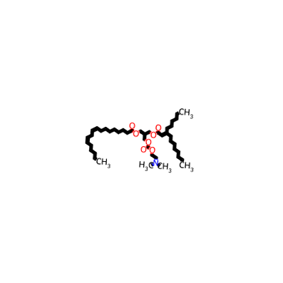 CCCCC/C=C\C/C=C\CCCCCCCC(=O)OCC(COC(=O)/C=C(\CCCCCC)CCCCCCCC)COC(=O)OCCN(C)C